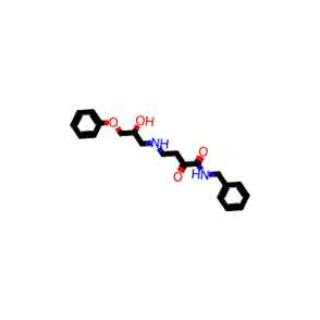 O=C(CCNCC(O)COc1ccccc1)C(=O)NCc1ccccc1